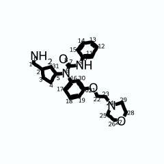 NCC1CCC(N(C(=O)Nc2ccccc2)c2cccc(OCCN3CCOCC3)c2)C1